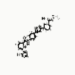 C=CC(O)N1CCCC(c2cn(-c3ccc(NC(=O)c4cccc(-c5ccn[nH]5)n4)cc3)nn2)C1